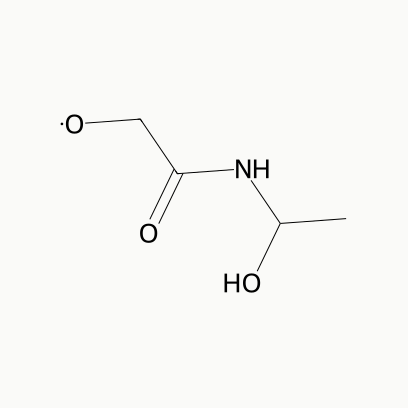 CC(O)NC(=O)C[O]